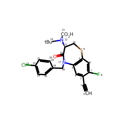 C#Cc1cc2c(cc1F)SC[C@H](N(C(=O)O)C(C)(C)C)C(=O)N2Cc1ccc(Cl)cc1